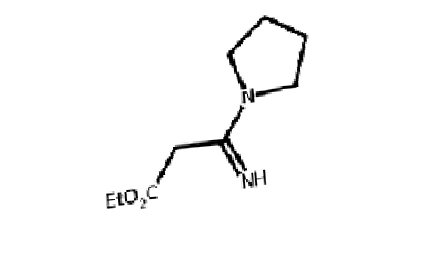 CCOC(=O)CC(=N)N1CCCC1